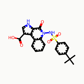 CC(C)(C)c1ccc(S(=O)(=O)Nn2c(=O)c3[nH]cc(C(=O)O)c3c3ccccc32)cc1